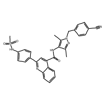 Cc1nn(Cc2ccc(C#N)cc2)c(C)c1NC(=O)c1cc(-c2ccc(NS(C)(=O)=O)cc2)nc2ccccc12